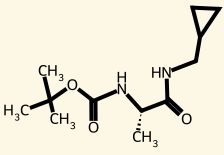 C[C@H](NC(=O)OC(C)(C)C)C(=O)NCC1CC1